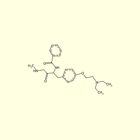 CCN(CC)CCOc1ccc(CC(NC(=O)c2ccccc2)C(=O)CNC)cc1